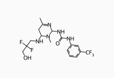 CC1=NC(NC(=O)Nc2cccc(C(F)(F)F)c2)N(C)C(NCC(F)(F)CO)C1